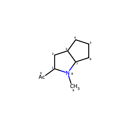 CC(=O)C1CC2CCCC2N1C